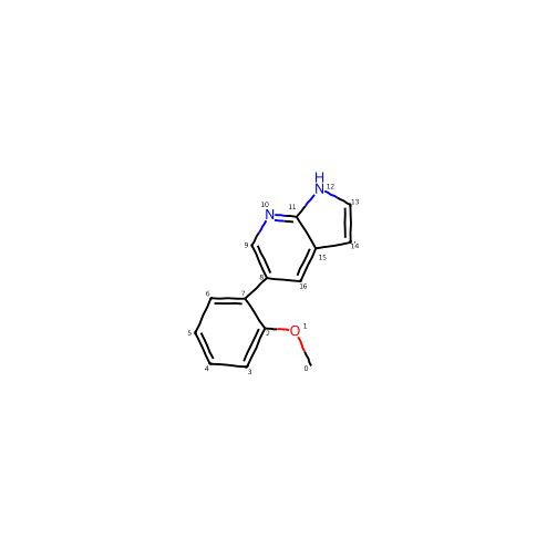 COc1ccccc1-c1cnc2[nH]c[c]c2c1